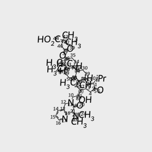 CC(C)C1=C2C(CC1=O)[C@@H]([C@@H](O)CN(Cc1cccnc1)C(=O)CN(C)C)C[C@]1(C)[C@@H]2CC[C@@H]2[C@@]3(C)CC[C@H](OC(=O)CC(C)(C)C(=O)O)C(C)(C)[C@@H]3CC[C@]21C